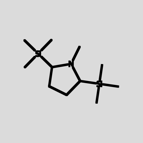 CN1C([Si](C)(C)C)CCC1[Si](C)(C)C